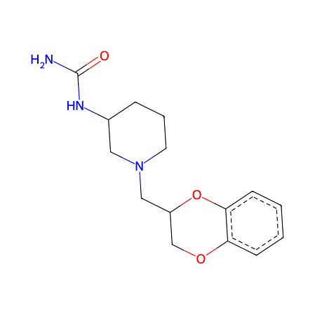 NC(=O)NC1CCCN(CC2COc3ccccc3O2)C1